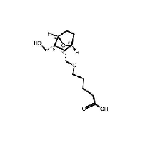 O=C(O)CCCCOC[C@@H]1[C@H](CO)[C@@H]2CC[C@H]1O2